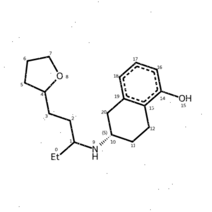 CCC(CCC1CCCO1)N[C@H]1CCc2c(O)cccc2C1